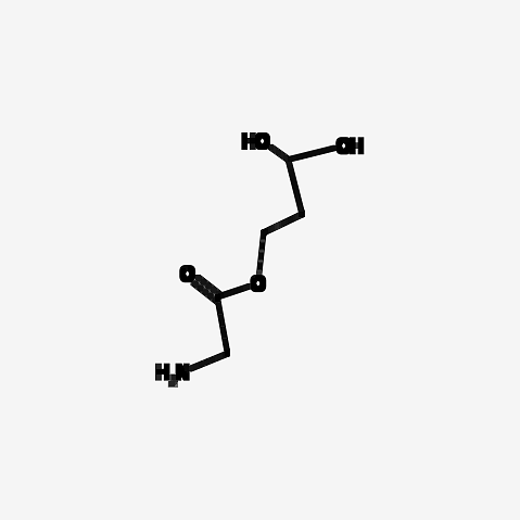 NCC(=O)OCCC(O)O